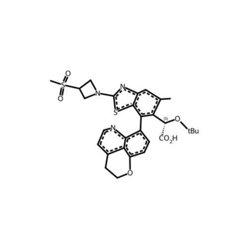 Cc1cc2nc(N3CC(S(C)(=O)=O)C3)sc2c(-c2ccc3c4c(ccnc24)CCO3)c1[C@H](OC(C)(C)C)C(=O)O